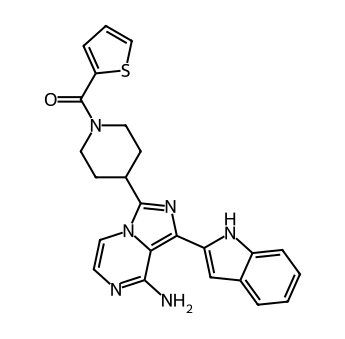 Nc1nccn2c(C3CCN(C(=O)c4cccs4)CC3)nc(-c3cc4ccccc4[nH]3)c12